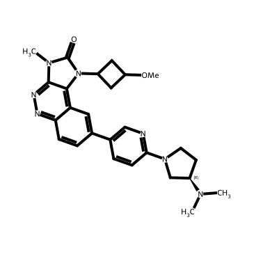 COC1CC(n2c(=O)n(C)c3nnc4ccc(-c5ccc(N6CC[C@@H](N(C)C)C6)nc5)cc4c32)C1